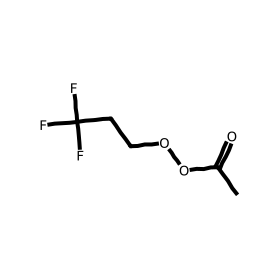 CC(=O)OOCCC(F)(F)F